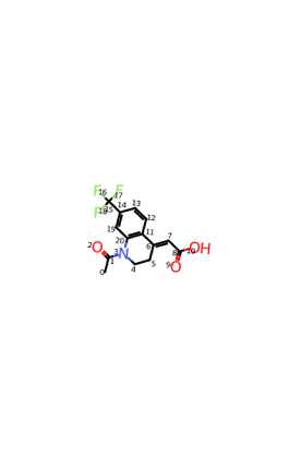 CC(=O)N1CCC(=CC(=O)O)c2ccc(C(F)(F)F)cc21